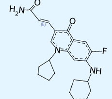 NC(=O)/C=C/c1cn(C2CCCC2)c2cc(NC3CCCCC3)c(F)cc2c1=O